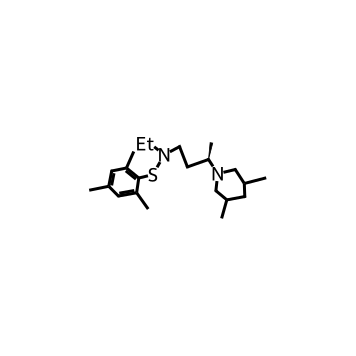 CCN(CC[C@@H](C)N1CC(C)CC(C)C1)Sc1c(C)cc(C)cc1C